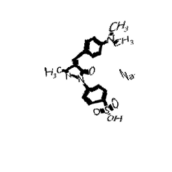 CC1=NN(c2ccc(S(=O)(=O)O)cc2)C(=O)C1=Cc1ccc(N(C)C)cc1.[Na]